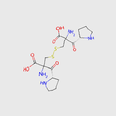 NC(CSSCC(N)(C(=O)O)C(=O)[C@@H]1CCCN1)(C(=O)O)C(=O)[C@@H]1CCCN1